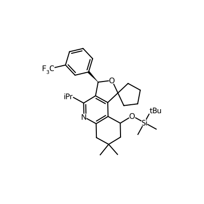 CC(C)c1nc2c(c3c1[C@@H](c1cccc(C(F)(F)F)c1)OC31CCCC1)C(O[Si](C)(C)C(C)(C)C)CC(C)(C)C2